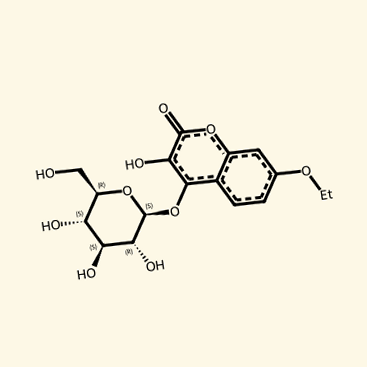 CCOc1ccc2c(O[C@@H]3O[C@H](CO)[C@@H](O)[C@H](O)[C@H]3O)c(O)c(=O)oc2c1